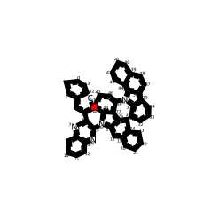 c1ccc2cc(-c3nc4ccccc4nc3-n3c4cc5ccccc5cc4c4c(-n5c6ccccc6c6ccc7ccccc7c65)cccc43)ccc2c1